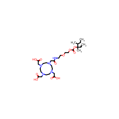 C=CC(C)(OC(=O)OCCOCCNC(=O)CN1CCN(CC(=O)O)CCN(CC(=O)O)CCN(CC(=O)O)CC1)C(C)CC